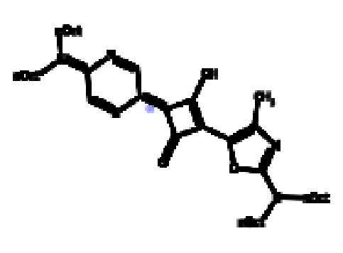 CCCCCCCCN(CCCCCCCC)c1nc(C)c(C2=C(O)/C(=C3\C=NC(=[N+](CCCCCCCC)CCCCCCCC)C=N3)C2=O)o1